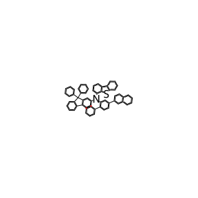 c1ccc(-c2ccc(-c3ccc4ccccc4c3)cc2N(c2ccc3c(c2)C(c2ccccc2)(c2ccccc2)c2ccccc2-3)c2cccc3c2sc2ccccc23)cc1